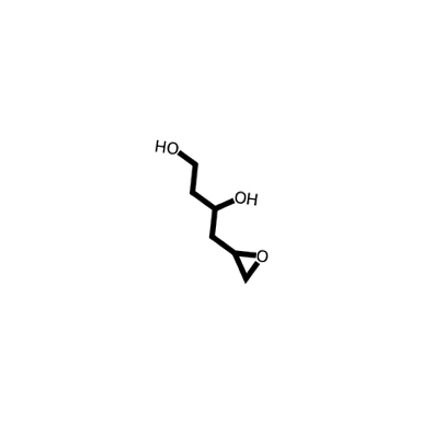 OCCC(O)CC1CO1